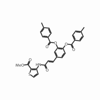 COC(=O)c1sccc1NC(=O)C=Cc1ccc(OC(=O)c2ccc(C)cc2)c(OC(=O)c2ccc(C)cc2)c1